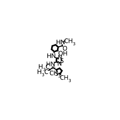 CNC(=O)c1cccc(Nc2nsnc2N[C@@H](c2ccc(C)s2)C(C)(C)C)c1O